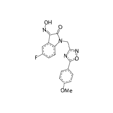 COc1ccc(-c2nc(CN3C(=O)/C(=N\O)c4cc(F)ccc43)no2)cc1